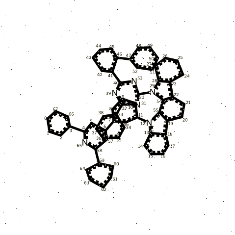 c1ccc(-c2cc(-c3cccc(-n4c5ccccc5c5ccc6c7ccccc7n(-c7nc(-c8ccccc8)nc(-c8ccccc8-c8ccccc8)n7)c6c54)c3)cc(-c3ccccc3)n2)cc1